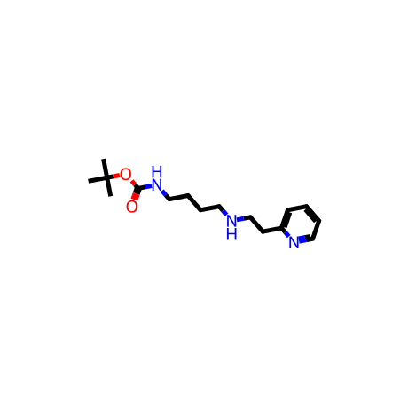 CC(C)(C)OC(=O)NCCCCNCCc1ccccn1